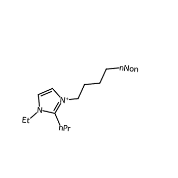 CCCCCCCCCCCCC[n+]1ccn(CC)c1CCC